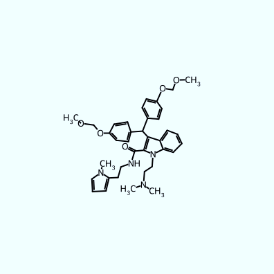 COCOc1ccc(C(c2ccc(OCOC)cc2)c2c(C(=O)NCCc3cccn3C)n(CCN(C)C)c3ccccc23)cc1